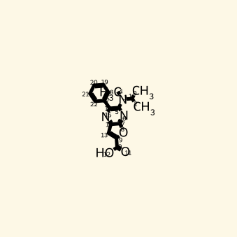 CC(C)N(C)c1nc2oc(C(=O)O)cc2nc1-c1ccccc1